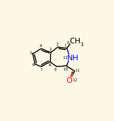 CC1=Cc2ccccc2CC(C=O)N1